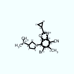 Cc1c(Br)c(N2CCC(N(C)C)C2)c2oc(C3CC3)nc2c1C#N